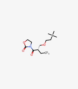 C[Si](C)(C)CCOC[C@H](CC(F)(F)F)C(=O)N1CCOC1=O